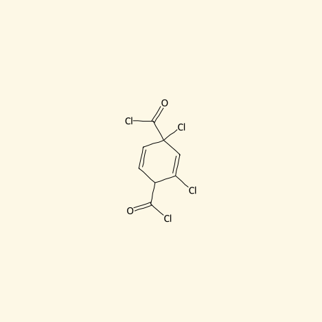 O=C(Cl)C1C=CC(Cl)(C(=O)Cl)C=C1Cl